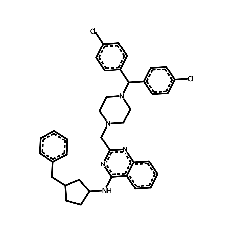 Clc1ccc(C(c2ccc(Cl)cc2)N2CCN(Cc3nc(NC4CCC(Cc5ccccc5)C4)c4ccccc4n3)CC2)cc1